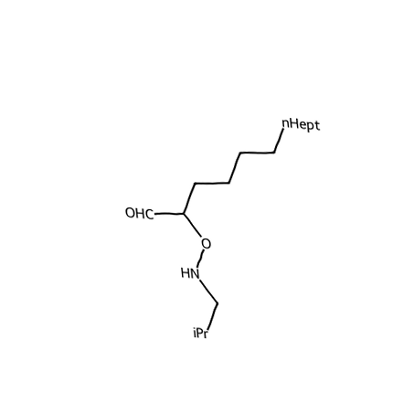 CCCCCCCCCCCC(C=O)ONCC(C)C